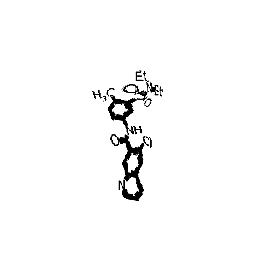 CCN(CC)S(=O)(=O)c1cc(NC(=O)c2cc3ncccc3cc2Cl)ccc1C